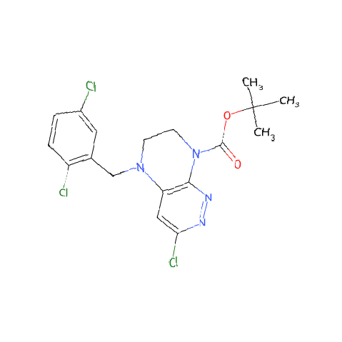 CC(C)(C)OC(=O)N1CCN(Cc2cc(Cl)ccc2Cl)c2cc(Cl)nnc21